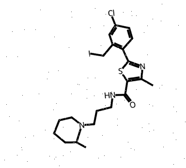 Cc1nc(-c2ccc(Cl)cc2CI)sc1C(=O)NCCCN1CCCCC1C